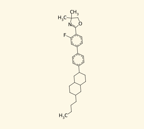 CCCCC1CCC2CC(c3ccc(-c4ccc(C5=NC(C)(C)CO5)c(F)c4)cc3)CCC2C1